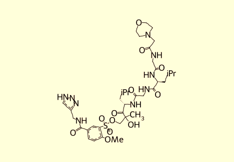 COc1ccc(C(=O)NCc2c[nH]nn2)cc1S(=O)(=O)OCC(C)(O)C(=O)[C@H](CC(C)C)NC(=O)CNC(=O)[C@H](CC(C)C)NC(=O)CNC(=O)CN1CCOCC1